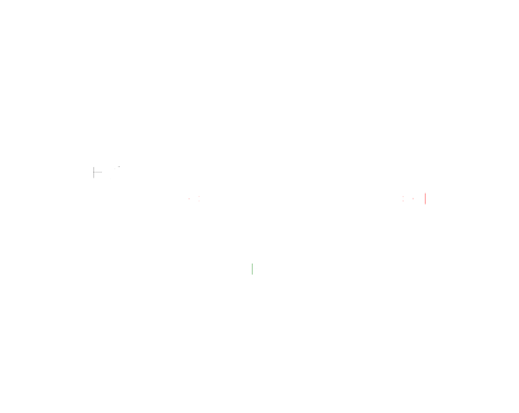 CCOc1ccc(CO)cc1F